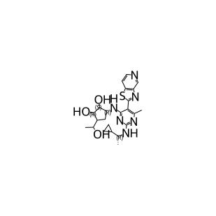 Cc1nc(N[C@H](C)C2CC2)nc(N[C@@H]2CC(C(C)O)[C@@H](O)[C@H]2O)c1-c1nc2cnccc2s1